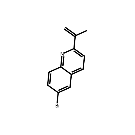 C=C(C)c1ccc2cc(Br)ccc2n1